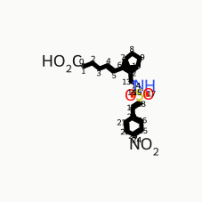 O=C(O)CCCC=CC1C2CCC(C2)C1CNS(=O)(=O)C=Cc1ccc([N+](=O)[O-])cc1